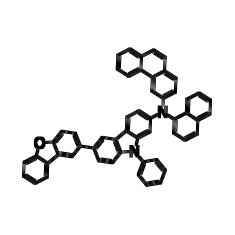 c1ccc(-n2c3ccc(-c4ccc5oc6ccccc6c5c4)cc3c3ccc(N(c4ccc5ccc6ccccc6c5c4)c4cccc5ccccc45)cc32)cc1